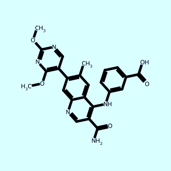 COc1ncc(-c2cc3ncc(C(N)=O)c(Nc4cccc(C(=O)O)c4)c3cc2C)c(OC)n1